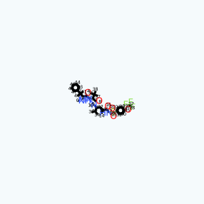 CNC(C(=O)NC(C(=O)N(C)C(/C=C(\C)C(=O)NS(=O)(=O)c1ccc(OC(F)(F)F)cc1)C(C)C)C(C)(C)C)C(C)(C)c1ccccc1